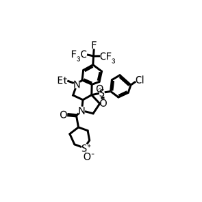 CCN1CC2N(C(=O)C3CC[S+]([O-])CC3)CCC2(S(=O)(=O)c2ccc(Cl)cc2)c2ccc(C(F)(C(F)(F)F)C(F)(F)F)cc21